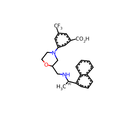 C[C@@H](NCC1CN(c2cc(C(=O)O)cc(C(F)(F)F)c2)CCO1)c1cccc2ccccc12